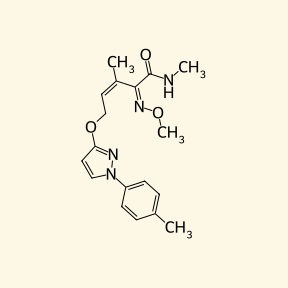 CNC(=O)C(=NOC)C(C)=CCOc1ccn(-c2ccc(C)cc2)n1